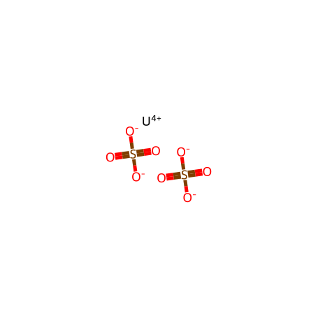 O=S(=O)([O-])[O-].O=S(=O)([O-])[O-].[U+4]